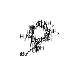 CC[C@H](C)CCCC[C@@H](O)CC(=O)N[C@H](CO)C(=O)N[C@H]1CCNC(=O)[C@H](CC(C)C)NC(=O)[C@H](CCN)NC(=O)[C@H](CCN)NC(=O)[C@H](CC(C)C)NC(=O)[C@@H](CC(C)C)NC(=O)[C@H](CCN)NC1=O